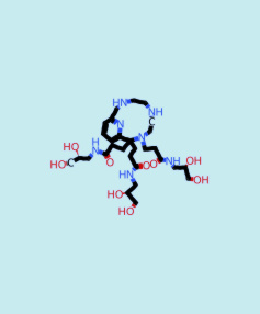 O=C(CCN1CCNCCNCc2cccc(n2)C1(CCC(=O)NC[C@@H](O)CO)CCC(=O)NC[C@@H](O)CO)NC[C@@H](O)CO